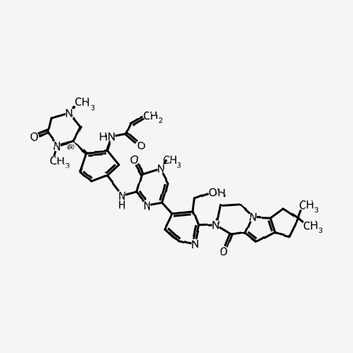 C=CC(=O)Nc1cc(Nc2nc(-c3ccnc(N4CCn5c(cc6c5CC(C)(C)C6)C4=O)c3CO)cn(C)c2=O)ccc1[C@@H]1CN(C)CC(=O)N1C